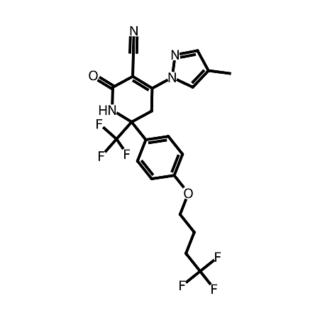 Cc1cnn(C2=C(C#N)C(=O)NC(c3ccc(OCCCC(F)(F)F)cc3)(C(F)(F)F)C2)c1